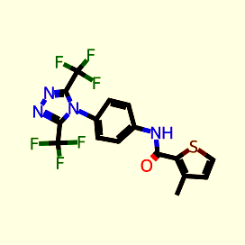 Cc1ccsc1C(=O)Nc1ccc(-n2c(C(F)(F)F)nnc2C(F)(F)F)cc1